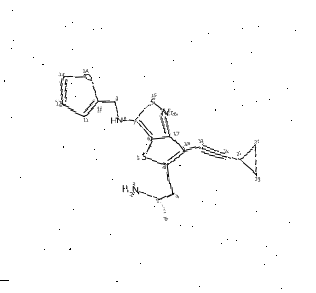 C[C@H](N)Cc1sc2c(NCc3ccco3)snc2c1C#CC1CC1